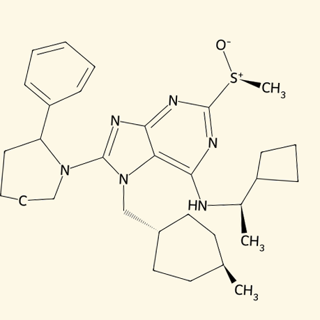 C[C@@H](Nc1nc([S@+](C)[O-])nc2nc(N3CCCCC3c3ccccc3)n(C[C@H]3CC[C@H](C)CC3)c12)C1CCC1